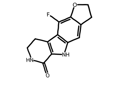 O=C1NCCc2c1[nH]c1cc3c(c(F)c21)OCC3